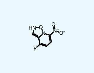 O=[N+]([O-])C1=CC=C(F)C2=CNON21